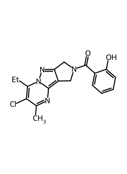 CCc1c(Cl)c(C)nc2c3c(nn12)CN(C(=O)c1ccccc1O)C3